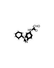 O=CC(=O)Nc1ccc2ncn(C3CCCCC3)c2c1